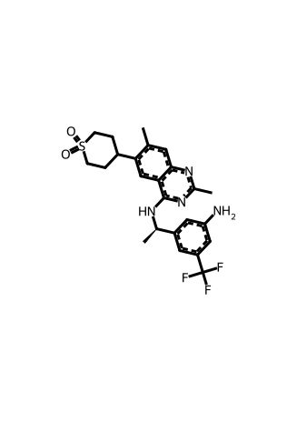 Cc1nc(N[C@H](C)c2cc(N)cc(C(F)(F)F)c2)c2cc(C3CCS(=O)(=O)CC3)c(C)cc2n1